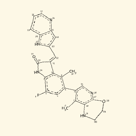 Cc1c(-c2cc(F)c3c(c2C)/C(=C/c2cc4ncccc4[nH]2)C(=O)N3)cnc2c1NCCO2